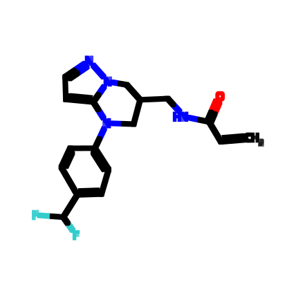 C=CC(=O)NCC1CN(c2ccc(C(F)F)cc2)c2ccnn2C1